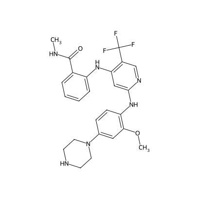 CNC(=O)c1ccccc1Nc1cc(Nc2ccc(N3CCNCC3)cc2OC)ncc1C(F)(F)F